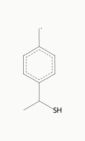 [CH2]c1ccc(C(C)S)cc1